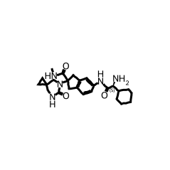 CNC(=O)C1(N2CC3(CC3)CNC2=O)Cc2ccc(NC(=O)[C@@H](N)C3CCCCC3)cc2C1